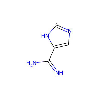 N=C(N)c1cn[c][nH]1